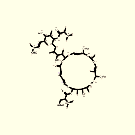 COCC(C(=O)OC1C/C=C/C=C/C(=O)OC(C(C)C(O)C(C)CCC(OC(=O)C(C)N(C)C)C(C)C(OC(C)=O)C(C)/C=C/N(C)C=O)C/C=C/C(OC)CC(C)C/C=C(\C)C(OC)CCC(C)C(O)C1C)N(C)C